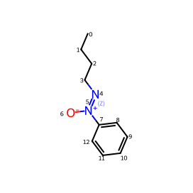 CCCC/N=[N+](\[O-])c1ccccc1